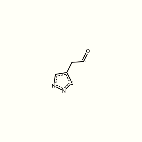 O=[C]Cc1cnns1